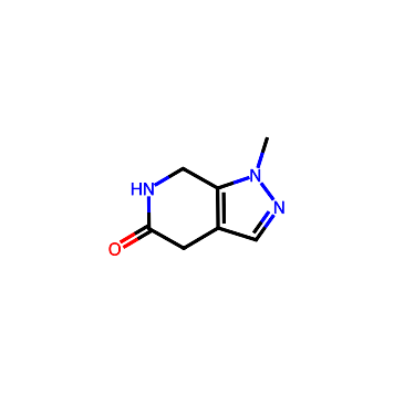 Cn1ncc2c1CNC(=O)C2